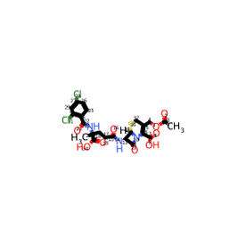 CC(=O)OCC1=C(C(=O)O)N2C(=O)[C@H](NC(=O)CCC(C)(NC(=O)c3ccc(Cl)cc3Cl)C(=O)O)[C@H]2SC1